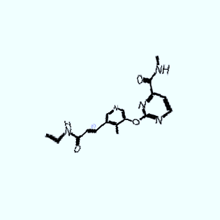 CCNC(=O)/C=C/c1cncc(Oc2nccc(C(=O)NC)n2)c1C